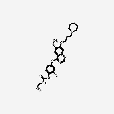 CCNC(=O)Nc1ccc(Oc2ncnc3cc(OCCCN4CCCCC4)c(OC)cc23)cc1Cl